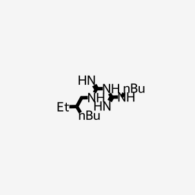 CCCCNC(=N)NC(=N)NCC(CC)CCCC